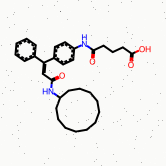 O=C(O)CCCC(=O)Nc1ccc(C(=CC(=O)NC2CCCCCCCCCCC2)c2ccccc2)cc1